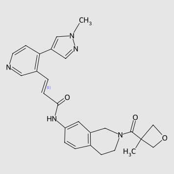 Cn1cc(-c2ccncc2/C=C/C(=O)Nc2ccc3c(c2)CN(C(=O)C2(C)COC2)CC3)cn1